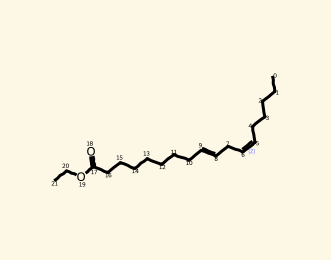 CCCCC/C=C\CC=CCCCCCCCC(=O)OCC